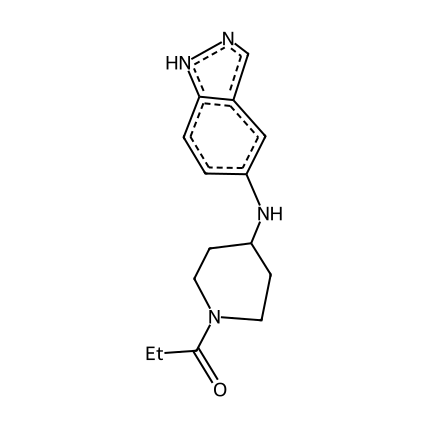 CCC(=O)N1CCC(Nc2ccc3[nH]ncc3c2)CC1